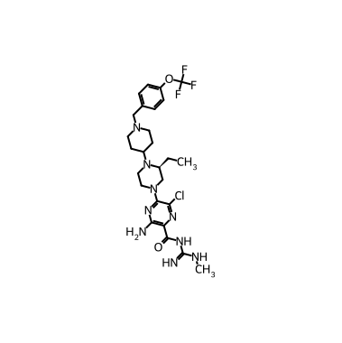 CC[C@H]1CN(c2nc(N)c(C(=O)NC(=N)NC)nc2Cl)CCN1C1CCN(Cc2ccc(OC(F)(F)F)cc2)CC1